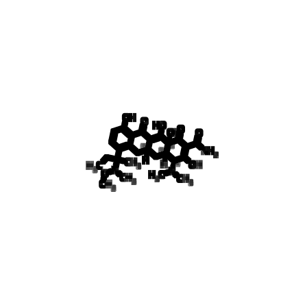 CCC(C)(c1ccc(O)c2c1C[C@H]1C[C@H]3[C@H](N(C)C)C(O)=C(C(N)=O)C(=O)[C@@]3(O)C(O)=C1C2=O)N(C)OC